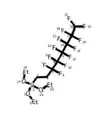 CCO[Si](CCC(F)(F)C(F)(F)C(F)(F)C(F)(F)C(F)(F)C(F)F)(OCC)OCC